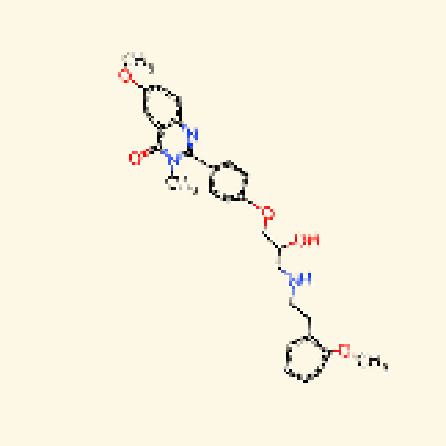 COc1ccc2nc(-c3ccc(OCC(O)CNCCc4ccccc4OC)cc3)n(C)c(=O)c2c1